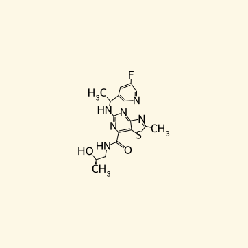 Cc1nc2nc(NC(C)c3cncc(F)c3)nc(C(=O)NC[C@@H](C)O)c2s1